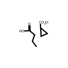 CCCC(=O)O.CCOC(=O)C1CC1